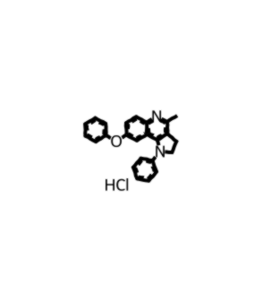 Cc1nc2ccc(Oc3ccccc3)cc2c2c1CCN2c1ccccc1.Cl